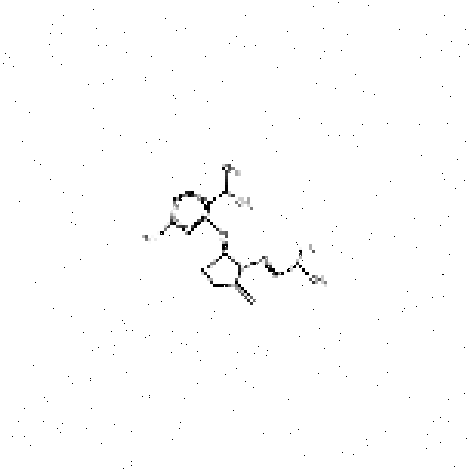 Cc1ccc(C(C)C)c(/N=C2\SCC(=O)N2/N=C/C(C)C)c1